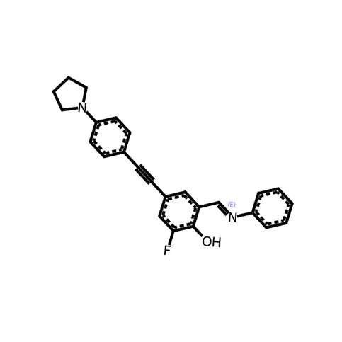 Oc1c(F)cc(C#Cc2ccc(N3CCCC3)cc2)cc1/C=N/c1ccccc1